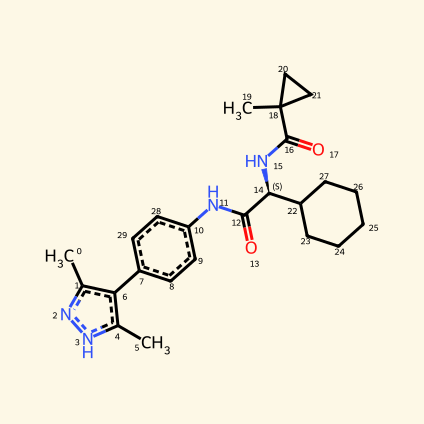 Cc1n[nH]c(C)c1-c1ccc(NC(=O)[C@@H](NC(=O)C2(C)CC2)C2CCCCC2)cc1